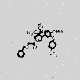 COc1ccc(C2CN(C(=O)COCc3ccccc3)CC2(C)[C@@H](C)O)cc1OC1CCC(C)CC1